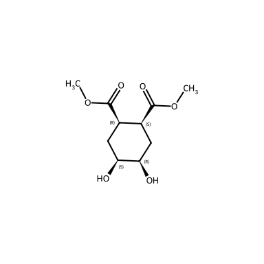 COC(=O)[C@H]1C[C@@H](O)[C@@H](O)C[C@H]1C(=O)OC